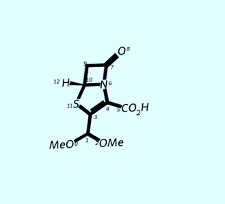 COC(OC)C1=C(C(=O)O)N2C(=O)C[C@H]2S1